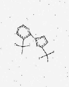 FC(F)(F)c1c[c]n(-c2ncccc2C(F)(F)F)n1